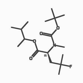 CC(C)C(C)OC(=O)[C@H](CC(C)(C)F)N(C)C(=O)OC(C)(C)C